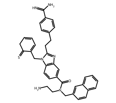 N=C(N)c1ccc(CCc2nc3cc(C(=O)N(CCN)Cc4ccc5ccccc5c4)ccc3n2CC2=CC=CCC2=S)cc1